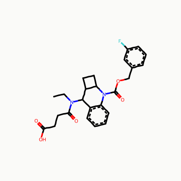 CCN(C(=O)CCC(=O)O)C1c2ccccc2N(C(=O)OCc2cccc(F)c2)C2CCC12